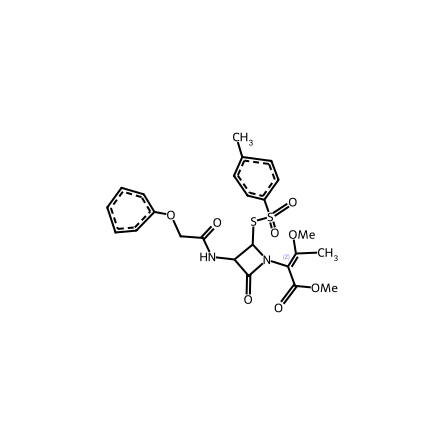 COC(=O)/C(=C(\C)OC)N1C(=O)C(NC(=O)COc2ccccc2)C1SS(=O)(=O)c1ccc(C)cc1